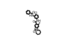 O=C(Nc1cc(NC(=O)c2ccc(N3CCCCCS3(=O)=O)cc2F)ccc1Cl)c1ccccc1